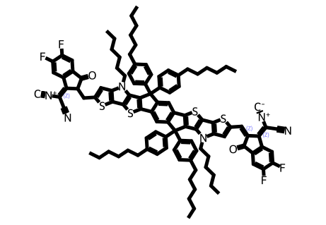 [C-]#[N+]/C(C#N)=C1\C(=C\c2cc3c(s2)c2sc4c(c2n3CCCCCC)C(c2ccc(CCCCCC)cc2)(c2ccc(CCCCCC)cc2)c2cc3c(cc2-4)C(c2ccc(CCCCCC)cc2)(c2ccc(CCCCCC)cc2)c2c-3sc3c4sc(CC5C(=O)c6cc(F)c(F)cc6/C5=C(/C#N)[N+]#[C-])cc4n(CCCCCC)c23)C(=O)c2cc(F)c(F)cc21